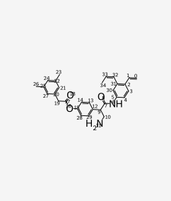 C=Cc1ccc(NC(=O)C(CN)c2ccc(OC(=O)Cc3cc(C)cc(C)c3)cc2)cc1/C=C\C